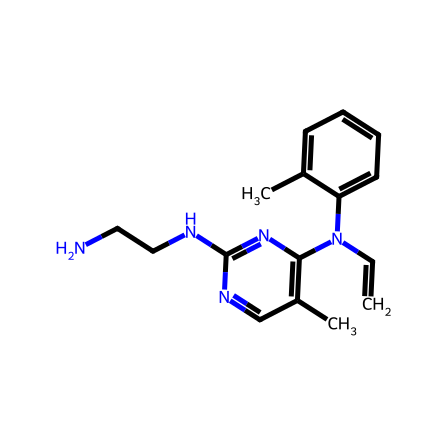 C=CN(c1ccccc1C)c1nc(NCCN)ncc1C